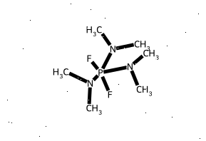 CN(C)P(F)(F)(N(C)C)N(C)C